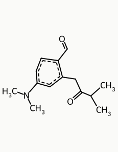 CC(C)C(=O)Cc1cc(N(C)C)ccc1C=O